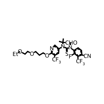 CCOCCOCCCOc1ncc(N(C(=S)N(C)c2ccc(C#N)c(C(F)(F)F)c2F)C(C)(C)C=O)cc1C(F)(F)F